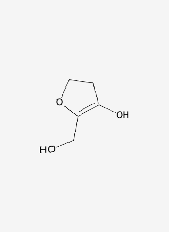 OCC1=C(O)CCO1